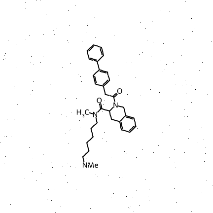 CNCCCCCCN(C)C(=O)C1Cc2ccccc2CN1C(=O)Cc1ccc(-c2ccccc2)cc1